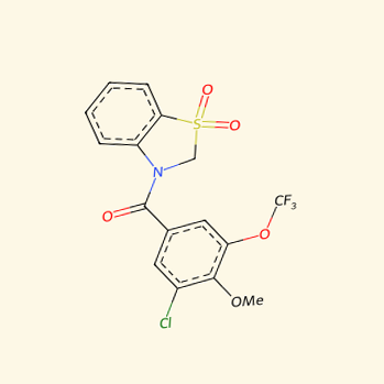 COc1c(Cl)cc(C(=O)N2CS(=O)(=O)c3ccccc32)cc1OC(F)(F)F